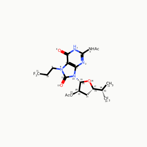 CC(=O)Nc1nc2c(c(=O)[nH]1)n(CCC(F)(F)F)c(=O)n2[C@@H]1O[C@H]([C@H](C)C(F)(F)F)C[C@H]1OC(C)=O